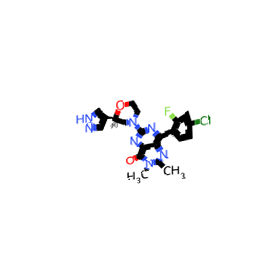 Cc1nc2c(-c3ccc(Cl)cc3F)nc(N3CCO[C@H](c4cn[nH]c4)C3)nc2c(=O)n1C